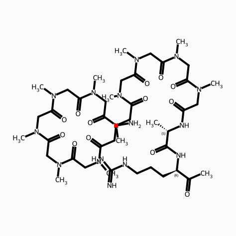 CC(=O)[C@@H](CCCNC(=N)N)NC(=O)[C@H](C)NC(=O)CN(C)C(=O)CN(C)C(=O)CN(C)C(=O)CN(C)C(=O)CN(C)C(=O)CN(C)C(=O)CN(C)C(=O)CN(C)C(=O)CN(C)C(=O)CN(C)C(=O)CCN